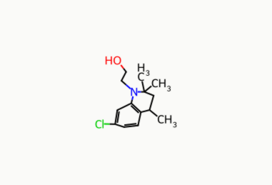 CC1CC(C)(C)N(CCO)c2cc(Cl)ccc21